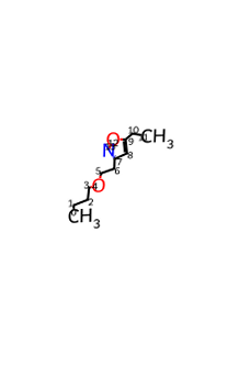 CCCCOCCc1cc(CC)on1